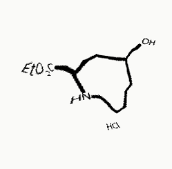 CCOC(=O)C1CC(O)CCN1.Cl